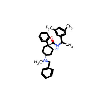 CC(NC(=O)[C@]1(c2ccccc2)CC[C@@H](N(C)Cc2ccccc2)CC1)c1cc(C(F)(F)F)cc(C(F)(F)F)c1